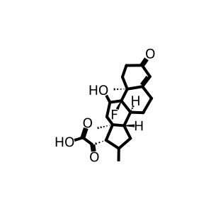 CC1C[C@H]2[C@@H]3CCC4=CC(=O)CC[C@]4(C)[C@@]3(F)C(O)C[C@]2(C)[C@H]1C(=O)C(=O)O